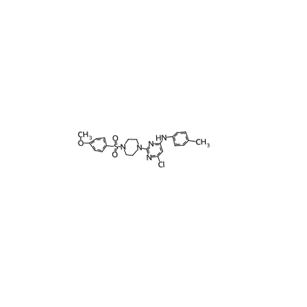 COc1ccc(S(=O)(=O)N2CCN(c3nc(Cl)cc(Nc4ccc(C)cc4)n3)CC2)cc1